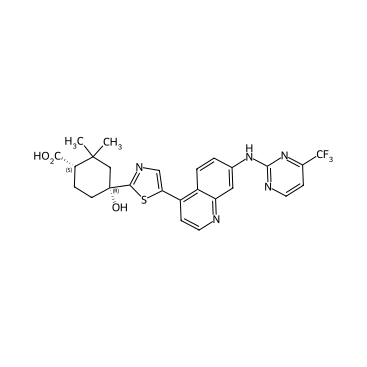 CC1(C)C[C@@](O)(c2ncc(-c3ccnc4cc(Nc5nccc(C(F)(F)F)n5)ccc34)s2)CC[C@@H]1C(=O)O